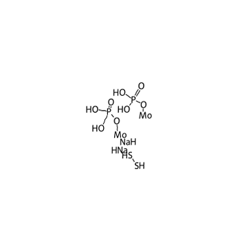 O=P(O)(O)[O][Mo].O=P(O)(O)[O][Mo].SS.[NaH].[NaH]